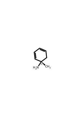 C[C@@]1(N)C=CC=CC1